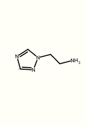 NCCn1cn[c]n1